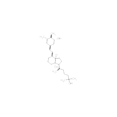 C=C(CCCC(C)(C)O)C1CC[C@H]2/C(=C/C=C3/C[C@@H](C)C(=C)[C@H](O)C3)CCC[C@]12C